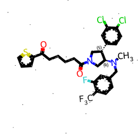 CN(Cc1ccc(C(F)(F)F)c(F)c1)[C@H]1CN(C(=O)CCCCC(=O)c2cccs2)C[C@@H]1c1ccc(Cl)c(Cl)c1